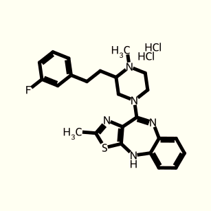 Cc1nc2c(s1)Nc1ccccc1N=C2N1CCN(C)C(CCc2cccc(F)c2)C1.Cl.Cl